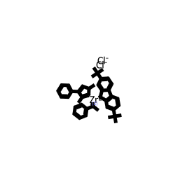 CC1=[C](/[Zr+2](=[C](/C)c2ccccc2)[CH]2c3cc(C(C)(C)C)ccc3-c3ccc(C(C)(C)C)cc32)C(C)C=C1c1ccccc1.[Cl-].[Cl-]